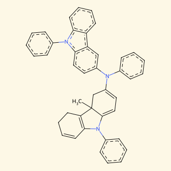 CC12CC(N(c3ccccc3)c3ccc4c(c3)c3ccccc3n4-c3ccccc3)=CC=C1N(c1ccccc1)C1=C2CCC=C1